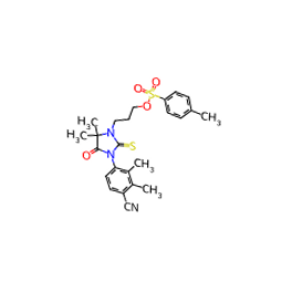 Cc1ccc(S(=O)(=O)OCCCN2C(=S)N(c3ccc(C#N)c(C)c3C)C(=O)C2(C)C)cc1